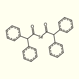 O=C([Se]C(=O)C(c1ccccc1)c1ccccc1)C(c1ccccc1)c1ccccc1